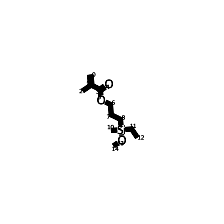 C=C(C)C(=O)OCCC[Si](C)(CC)OC